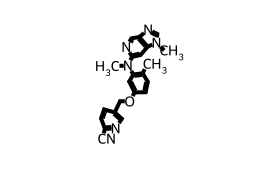 Cc1ccc(OCc2ccc(C#N)nc2)cc1N(C)c1cc2c(cn1)ncn2C